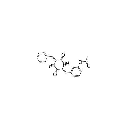 CC(=O)Oc1cccc(C=c2[nH]c(=O)c(=Cc3ccccc3)[nH]c2=O)c1